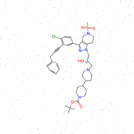 CC(C)(C)OC(=O)N1CCC(C2CCN(C[C@H](O)Cn3nc(-c4ccc(Cl)c(C#CCc5ccccc5)c4)c4c3CCN(S(C)(=O)=O)C4)CC2)CC1